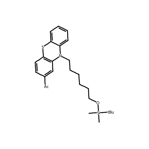 CC(=O)c1ccc2c(c1)N(CCCCCCO[Si](C)(C)C(C)(C)C)c1ccccc1S2